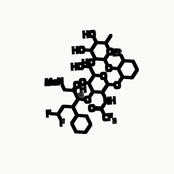 CCC1CCCC(OC2OC(CO)C(O)C(O[C@H](C(=O)CNC)C(CC(F)F)C3CCCCC3)C2NC(=O)C(F)(F)F)C1OC1OC(C)C(O)C(O)C1O